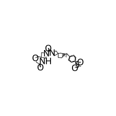 CS(=O)(=O)c1ccc(C[C@H]2CCC3(C2)CN(C(=O)N2CC4(COCC(=O)N4)C2)C3)cc1